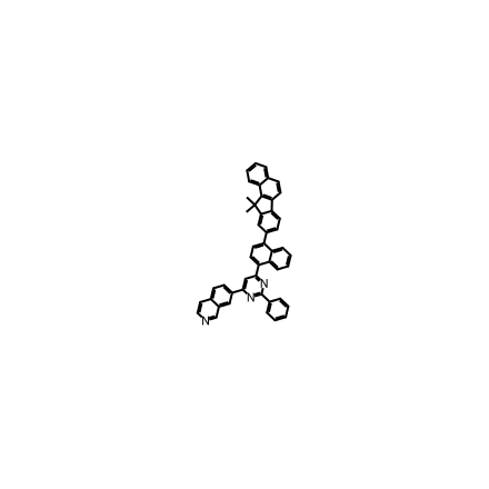 CC1(C)c2cc(-c3ccc(-c4cc(-c5ccc6ccncc6c5)nc(-c5ccccc5)n4)c4ccccc34)ccc2-c2ccc3ccccc3c21